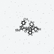 Cc1ccc(-n2nc(C(C)(C)C)cc2NC(=O)Nc2ccccc2C(C(=O)C2(C)CCCCC2)C2CCNCC2)cc1